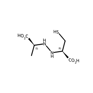 C[C@H](NN[C@@H](CS)C(=O)O)C(=O)O